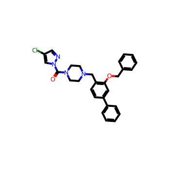 O=C(N1CCN(Cc2ccc(-c3ccccc3)cc2OCc2ccccc2)CC1)n1cc(Cl)cn1